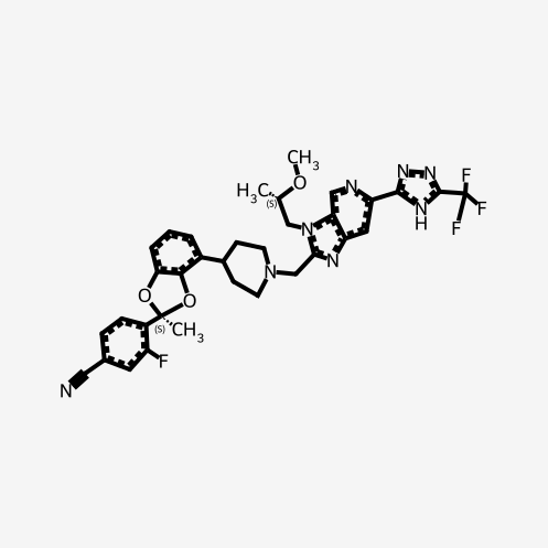 CO[C@@H](C)Cn1c(CN2CCC(c3cccc4c3O[C@@](C)(c3ccc(C#N)cc3F)O4)CC2)nc2cc(-c3nnc(C(F)(F)F)[nH]3)ncc21